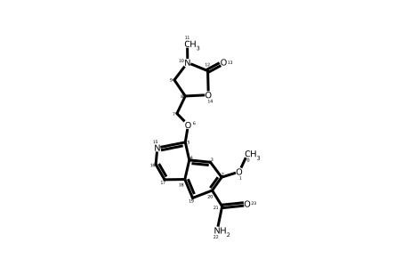 COc1cc2c(OCC3CN(C)C(=O)O3)nccc2cc1C(N)=O